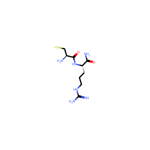 N=C(N)NCCC[C@H](NC(=O)[C@@H](N)CS)C(N)=O